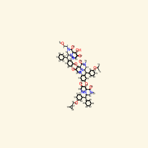 COCCN1CC(C(c2ccccc2)c2cccc(Oc3c4n(ncc3=O)C(C(c3cccc(Oc5c6n(ncc5=O)C(C(c5ccccc5)c5cccc(OCC7CC7)c5)CN(C)C6=O)c3)c3cccc(OC(C)C)c3)CN(C)C4=O)c2)n2ncc(=O)c(O)c2C1=O